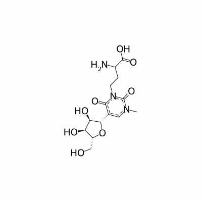 Cn1cc([C@@H]2O[C@H](CO)[C@@H](O)[C@H]2O)c(=O)n(CCC(N)C(=O)O)c1=O